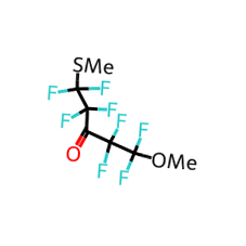 COC(F)(F)C(F)(F)C(=O)C(F)(F)C(F)(F)SC